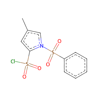 Cc1cc(S(=O)(=O)Cl)n(S(=O)(=O)c2ccccc2)c1